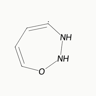 [c]1ccco[nH][nH]1